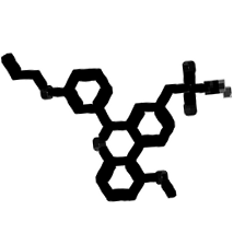 C=CCOc1cccc(C2Oc3cccc(OC)c3-c3ccc(CS(N)(=O)=O)cc32)c1